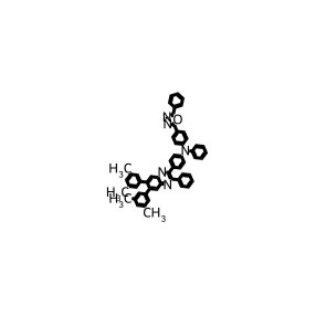 Cc1cc(C)cc(-c2cc3nc(-c4ccccc4)c(-c4ccc(N(c5ccccc5)c5ccc(-c6nnc(-c7ccccc7)o6)cc5)cc4)nc3cc2-c2cc(C)cc(C)c2)c1